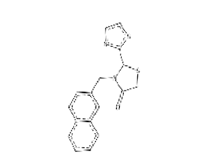 O=C1CSC(c2nccs2)N1Cc1ccc2ccccc2c1